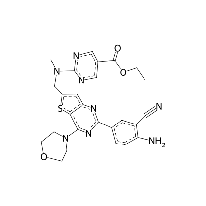 CCOC(=O)c1cnc(N(C)Cc2cc3nc(-c4ccc(N)c(C#N)c4)nc(N4CCOCC4)c3s2)nc1